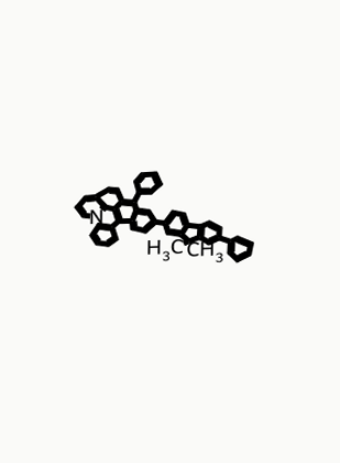 CC1(C)c2cc(-c3ccccc3)ccc2-c2ccc(-c3ccc4c(-c5ccccc5)c5c(ccc6cccnc65)c(-c5ccccc5)c4c3)cc21